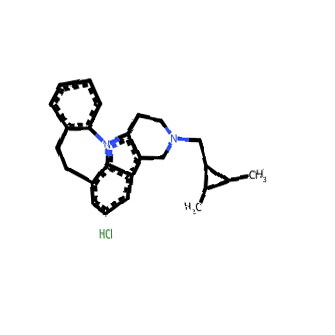 CC1C(C)C1CN1CCc2c(c3cccc4c3n2-c2ccccc2CC4)C1.Cl